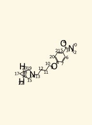 CN(C)C(=O)c1ccc(OCCCCN2C[C@H]3C[C@H]3C2)cc1